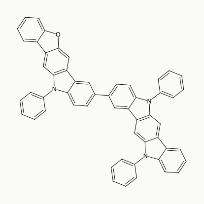 c1ccc(-n2c3ccc(-c4ccc5c(c4)c4cc6c(cc4n5-c4ccccc4)c4ccccc4n6-c4ccccc4)cc3c3cc4oc5ccccc5c4cc32)cc1